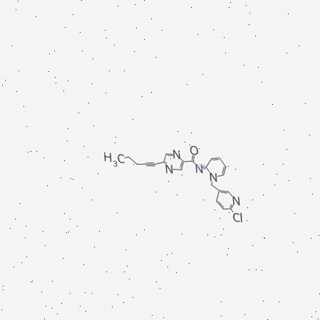 CCCC#Cc1cnc(C(=O)/N=c2\ccccn2Cc2ccc(Cl)nc2)cn1